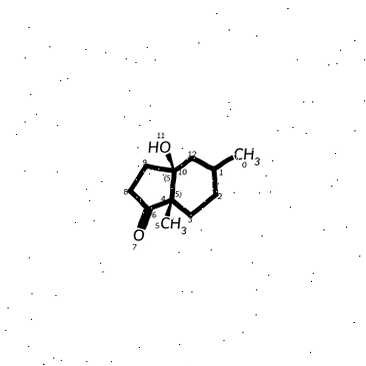 CC1CC[C@]2(C)C(=O)CC[C@]2(O)C1